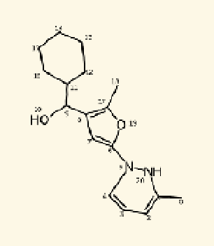 CC1=CC=CN(c2cc(C(O)C3CCCCC3)c(C)o2)N1